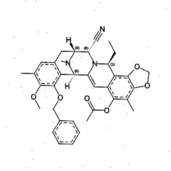 CC[C@H]1c2c(c(OC(C)=O)c(C)c3c2OCO3)C=C2[C@H]3c4c(cc(C)c(OC)c4OCc4ccccc4)C[C@H]([C@H](C#N)N21)N3C